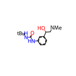 CNCC(O)c1cccc(NC(=O)NC(C)(C)C)c1